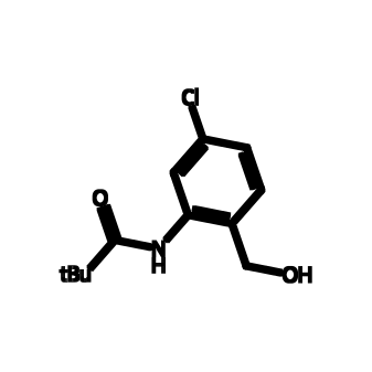 CC(C)(C)C(=O)Nc1cc(Cl)ccc1CO